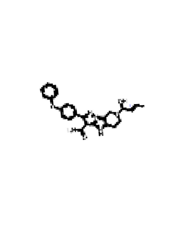 C/C=C/C(O)N1CCc2[nH]c3c(C(N)=O)c(-c4ccc(Oc5ccccc5)cc4)nn3c2C1